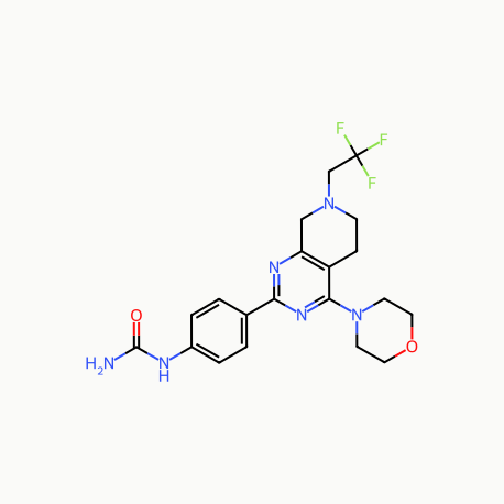 NC(=O)Nc1ccc(-c2nc3c(c(N4CCOCC4)n2)CCN(CC(F)(F)F)C3)cc1